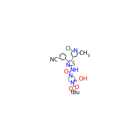 Cc1cc(-c2sc(NC(=O)N3CCN(C(=O)OC(C)(C)C)[C@@H](CO)C3)nc2-c2cccc(C#N)c2)cc(Cl)n1